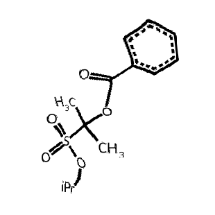 CC(C)OS(=O)(=O)C(C)(C)OC(=O)c1ccccc1